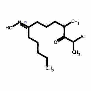 CCCCC/C(CCCC(C)C(=O)C(C)Br)=N\O